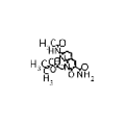 CC(=O)Nc1ccc2cc(C(N)=O)c(=O)n(CC(=O)OC(C)(C)C)c2n1